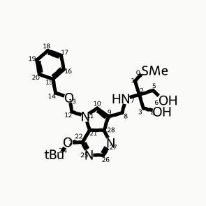 CSCC(CO)(CO)NCC1=CN(COCc2ccccc2)C2C(OC(C)(C)C)=NC=NC12